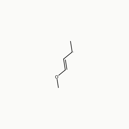 C[CH]C=COC